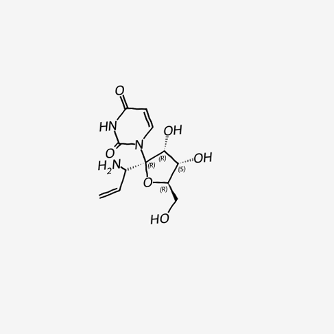 C=CC(N)[C@@]1(n2ccc(=O)[nH]c2=O)O[C@H](CO)[C@@H](O)[C@H]1O